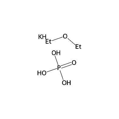 CCOCC.O=P(O)(O)O.[KH]